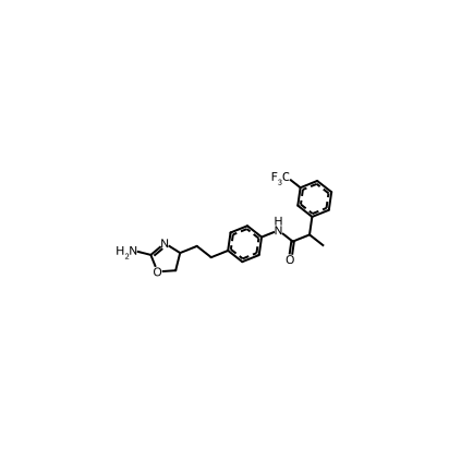 CC(C(=O)Nc1ccc(CCC2COC(N)=N2)cc1)c1cccc(C(F)(F)F)c1